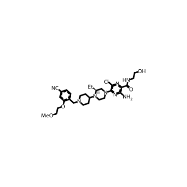 CC[C@H]1CN(c2nc(N)c(C(=O)NCCO)nc2Cl)CCN1C1CCN(Cc2ccc(C#N)cc2OCCOC)CC1